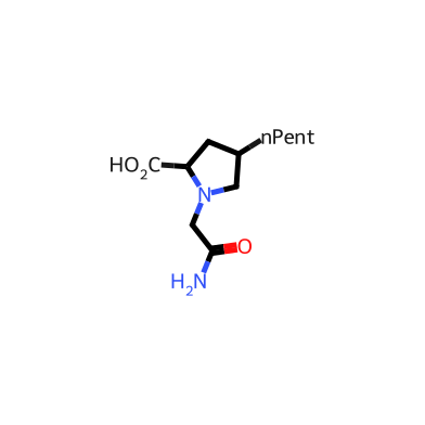 CCCCCC1CC(C(=O)O)N(CC(N)=O)C1